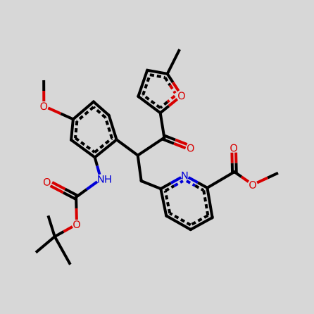 COC(=O)c1cccc(CC(C(=O)c2ccc(C)o2)c2ccc(OC)cc2NC(=O)OC(C)(C)C)n1